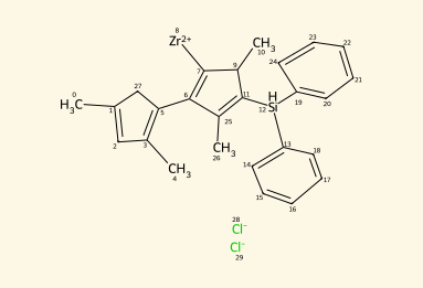 CC1=CC(C)=C(C2=[C]([Zr+2])C(C)C([SiH](c3ccccc3)c3ccccc3)=C2C)C1.[Cl-].[Cl-]